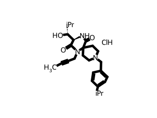 CC#CCN1C(=O)[C@@H]([C@H](O)C(C)C)NC(=O)C12CCN(Cc1ccc(C(C)C)cc1)CC2.Cl